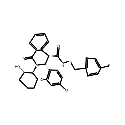 O=C(NOCc1ccc(F)cc1)[C@@H]1c2ccccc2C(=O)N([C@H]2CCCC[C@@H]2O)[C@H]1c1ccc(Cl)cc1Cl